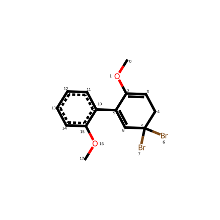 COC1=CCC(Br)(Br)C=C1c1ccccc1OC